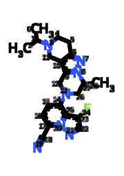 CC(C)N1CCc2nn3c(c2C1)CN(c1ccc(C#N)n2ncc(F)c12)C[C@H]3C